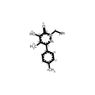 Cc1ccc(-c2nn(CC(C)C)c(=O)c(O)c2C)cc1